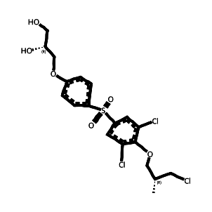 C[C@@H](CCl)COc1c(Cl)cc(S(=O)(=O)c2ccc(OC[C@H](O)CO)cc2)cc1Cl